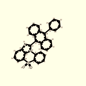 O=S1(=O)c2ccccc2-n2c(-c3c4ccccc4c(-c4ccccc4)c4ccccc34)nc3cccc1c32